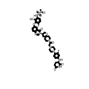 CCN(C)S(=O)(=O)Nc1ccc(F)c(Oc2ccc3ncn([C@H]4COC5(CCN(C(=O)CN6CCN(c7ccc(NC8CCC(=O)NC8=O)cc7F)CC6)CC5)C4)c(=O)c3c2)c1C#N